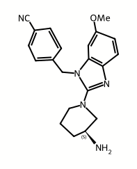 COc1ccc2nc(N3CCC[C@H](N)C3)n(Cc3ccc(C#N)cc3)c2c1